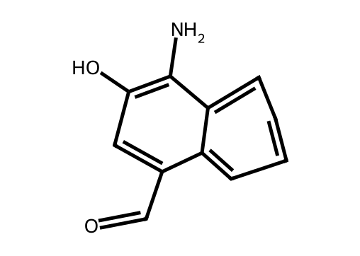 Nc1c(O)cc(C=O)c2ccccc12